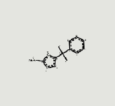 CSc1nnc(C(C)(C)c2ccccc2)o1